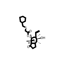 C=C[C@]1(C)C[C@@H](OC(=O)CSCC2CCCCC2)[C@]2(C)[C@H](C)CC[C@]3(CCC(=O)[C@H]32)[C@@H](C)[C@@H]1O